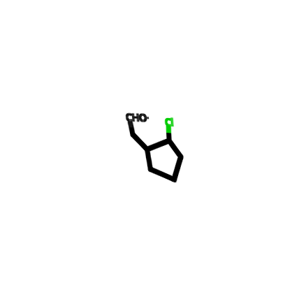 O=[C]CC1CCCC1Cl